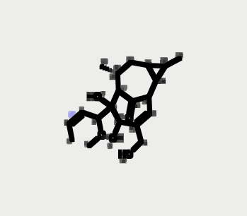 C/C=C\C(OC)C1(O)C(O)C(CO)=CC2C(=O)C1[C@H](C)CC1C(C)C21